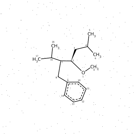 CO[C@H](CC(C)C)C(Cc1ccccc1)C(C)C